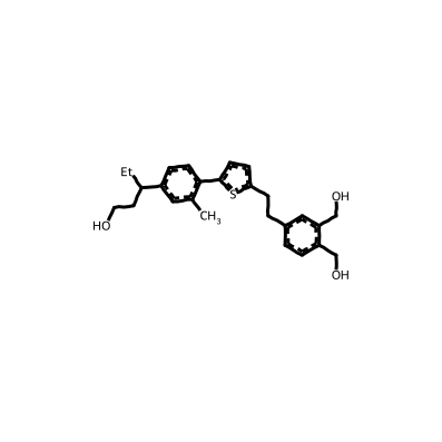 CCC(CCO)c1ccc(-c2ccc(CCc3ccc(CO)c(CO)c3)s2)c(C)c1